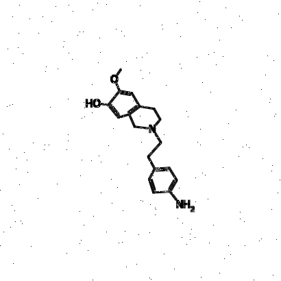 COc1cc2c(cc1O)CN(CCc1ccc(N)cc1)CC2